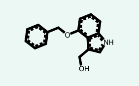 OCc1c[nH]c2cccc(OCc3ccccc3)c12